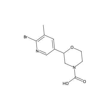 Cc1cc(C2CN(C(=O)O)CCO2)cnc1Br